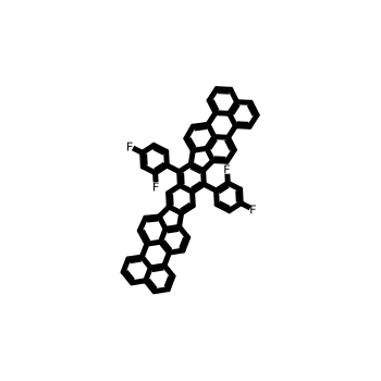 Fc1ccc(-c2c3cc4c(cc3c(-c3ccc(F)cc3F)c3c5ccc6c7cccc8cccc(c9ccc(c23)c5c96)c87)c2ccc3c5cccc6cccc(c7ccc4c2c73)c65)c(F)c1